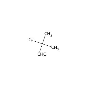 [2H]C(C)(C)C=O